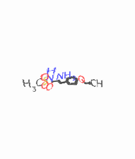 C#CCOc1ccc(CC(N)C(=O)NS(C)(=O)=O)cc1